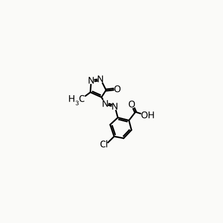 CC1=C(N=Nc2cc(Cl)ccc2C(=O)O)C(=O)N=N1